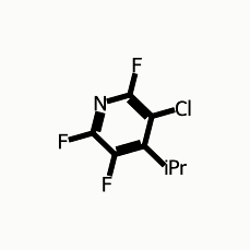 CC(C)c1c(F)c(F)nc(F)c1Cl